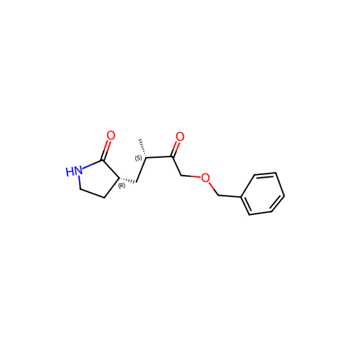 C[C@@H](C[C@@H]1CCNC1=O)C(=O)COCc1ccccc1